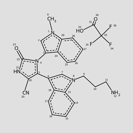 Cn1cc(-n2c(-c3cn(CCCN)c4ccccc34)c(C#N)[nH]c2=O)c2ccccc21.O=C(O)C(F)(F)F